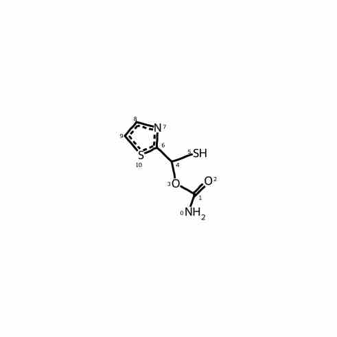 NC(=O)OC(S)c1nccs1